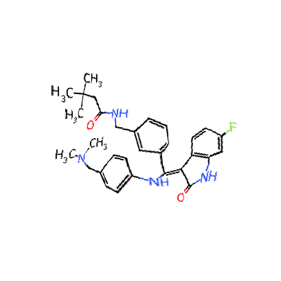 CN(C)Cc1ccc(N/C(=C2\C(=O)Nc3cc(F)ccc32)c2cccc(CNC(=O)CC(C)(C)C)c2)cc1